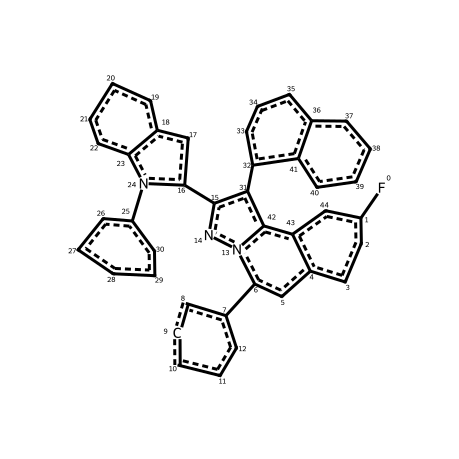 Fc1ccc2cc(-c3ccccc3)n3nc(-c4cc5ccccc5n4-c4ccccc4)c(-c4cccc5ccccc45)c3c2c1